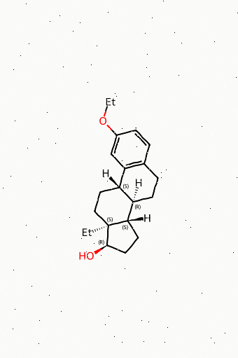 CCOc1[c]cc2c(c1)[C@H]1CC[C@]3(CC)[C@H](O)CC[C@H]3[C@@H]1CC2